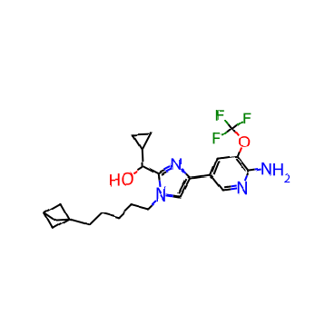 Nc1ncc(-c2cn(CCCCCC34CC(C3)C4)c(C(O)C3CC3)n2)cc1OC(F)(F)F